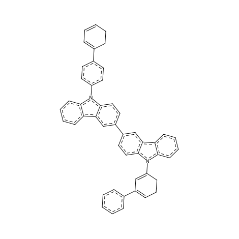 C1=CCCC(c2ccc(-n3c4ccccc4c4cc(-c5ccc6c(c5)c5ccccc5n6C5=CC(c6ccccc6)=CCC5)ccc43)cc2)=C1